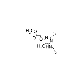 COC(=O)COc1nc(C2CC2)nc(NCC2CC2)c1C